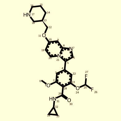 COc1cc(-c2cnc3cc(OC[C@@H]4CCCNC4)ccn23)cc(OC(F)F)c1C(=O)NC1CC1